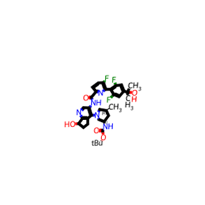 C[C@@H]1C[C@H](NC(=O)OC(C)(C)C)CN(c2c(NC(=O)c3ccc(F)c(-c4c(F)cc(C(C)(C)O)cc4F)n3)cnc3c2CCC3O)C1